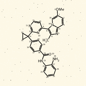 COc1ccc2nc(C)c(-c3ccnc(C4(c5ccc(C(=O)Nc6ccccc6N)cc5)CC4)n3)n2c1